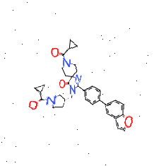 O=C(C1CC1)N1CCC2(CC1)N=C(c1ccc(-c3ccc4occc4c3)cc1)N(C[C@@H]1CCN(C(=O)C3CC3)C1)C2=O